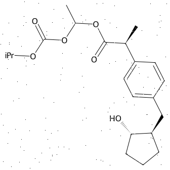 CC(C)OC(=O)OC(C)OC(=O)[C@@H](C)c1ccc(C[C@H]2CCC[C@@H]2O)cc1